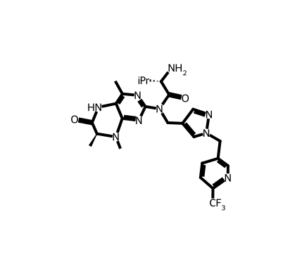 Cc1nc(N(Cc2cnn(Cc3ccc(C(F)(F)F)nc3)c2)C(=O)[C@@H](N)C(C)C)nc2c1NC(=O)[C@H](C)N2C